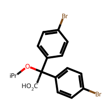 CC(C)OC(C(=O)O)(c1ccc(Br)cc1)c1ccc(Br)cc1